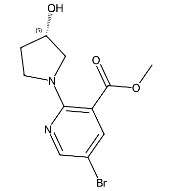 COC(=O)c1cc(Br)cnc1N1CC[C@H](O)C1